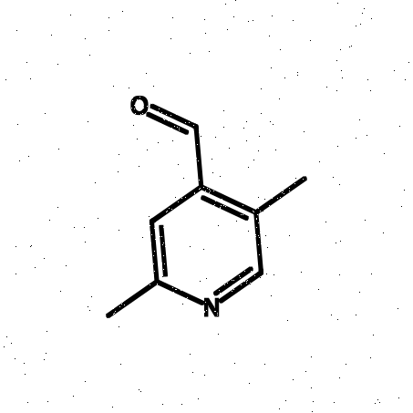 Cc1cc(C=O)c(C)cn1